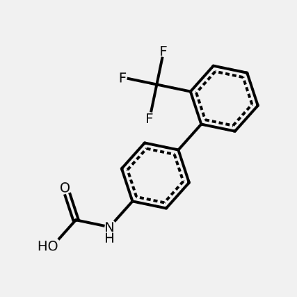 O=C(O)Nc1ccc(-c2ccccc2C(F)(F)F)cc1